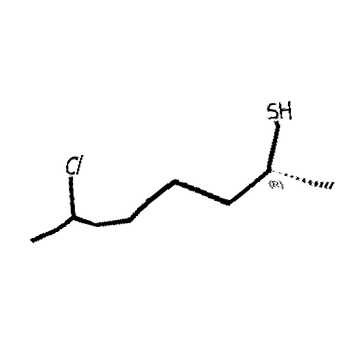 CC(Cl)CCC[C@@H](C)S